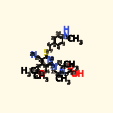 CNc1ccc(CCSc2nc(N3CC(C)N(CC(=O)O)C(C)C3)c3c(c2C#N)CC(C)(C)OC3)cc1